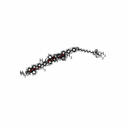 C=C(C)C(=O)OCCCCCCCCCCOc1ccc(-c2ccc(-c3ccc4c(c3)C3(c5cc(-c6ccc7c(c6)C6(c8cc(-c9ccc(-c%10ccc(-c%11ccc%12c(c%11)C%11(c%13cc(C)ccc%13-%12)C%12(CCC)CCCC%11(CCC)CCC%12)cc%10)cc9)ccc8-7)C7(CC)CCCC6(CC)CCC7)ccc5-4)C4(C)CCCC3(C)CCC4)cc2)cc1